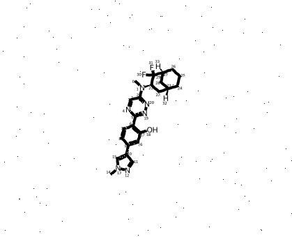 CN(c1cnc(-c2ccc(-c3cnn(C)c3)cc2O)nn1)[C@@H]1C[C@H]2CCC[C@@H](C2)C1(F)F